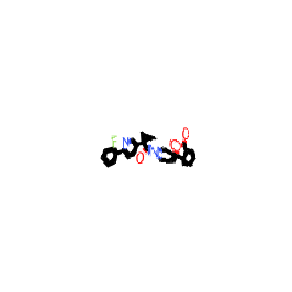 O=C1OC2(CCN(C(=O)C3(c4ccc(-c5ccccc5F)nc4)CC3)C2)c2ccccc21